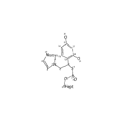 CCCCCCCOC(=O)SC(Cn1ccnc1)c1ccc(Cl)cc1Cl